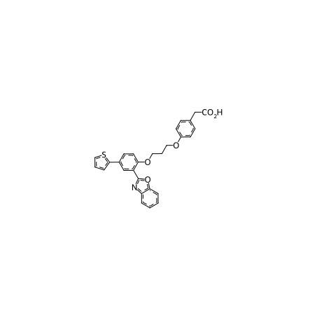 O=C(O)Cc1ccc(OCCCOc2ccc(-c3cccs3)cc2-c2nc3ccccc3o2)cc1